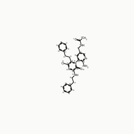 CC(=O)NCc1cnc(N)c(-n2c(CCc3ccccc3)c(Cl)nc(NCCc3ccccc3)c2=O)c1